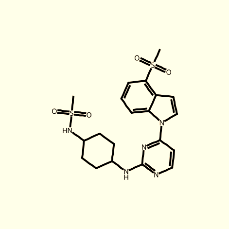 CS(=O)(=O)NC1CCC(Nc2nccc(-n3ccc4c(S(C)(=O)=O)cccc43)n2)CC1